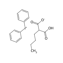 CCCCC(C(=O)[O-])C(=O)O.c1ccc([I+]c2ccccc2)cc1